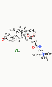 CCCCCCCC[N+](C)(CCCCCCCC)CCNC(=O)CCC(=O)OC(C)[C@H]1CCC2C3CCC4=CC(=O)CC[C@]4(C)C3CC[C@@]21C.[Cl-]